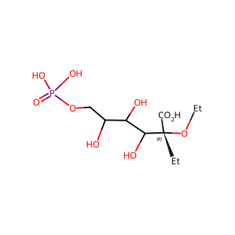 CCO[C@@](CC)(C(=O)O)C(O)C(O)C(O)COP(=O)(O)O